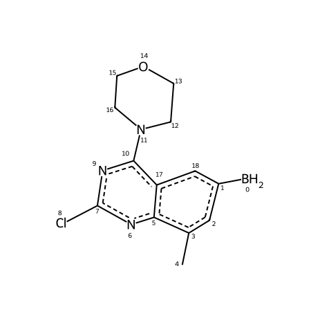 Bc1cc(C)c2nc(Cl)nc(N3CCOCC3)c2c1